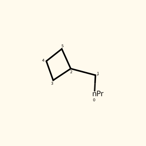 [CH2]CC[CH]C1CCC1